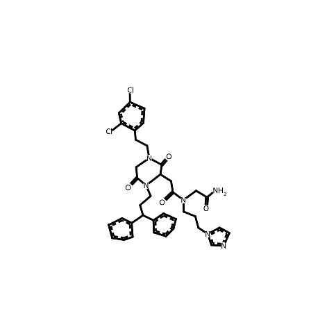 NC(=O)CN(CCCn1ccnc1)C(=O)CC1C(=O)N(CCc2ccc(Cl)cc2Cl)CC(=O)N1CCC(c1ccccc1)c1ccccc1